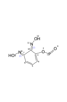 O=POC1=CC=CC(=N\O)/C1=N/O